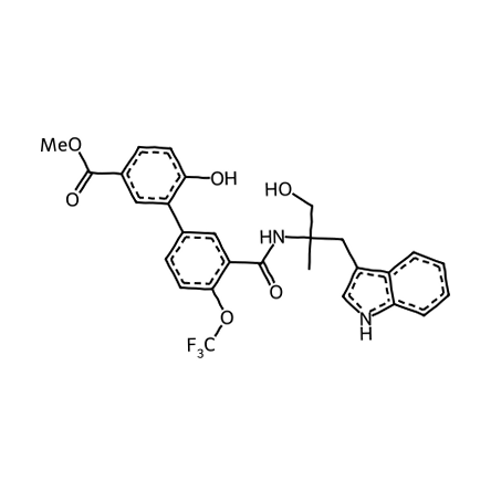 COC(=O)c1ccc(O)c(-c2ccc(OC(F)(F)F)c(C(=O)NC(C)(CO)Cc3c[nH]c4ccccc34)c2)c1